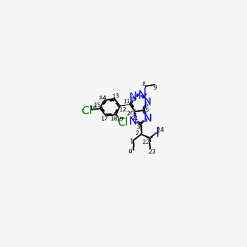 CCC(c1nc2nn(CC)nc(-c3ccc(Cl)cc3Cl)c-2n1)C(C)I